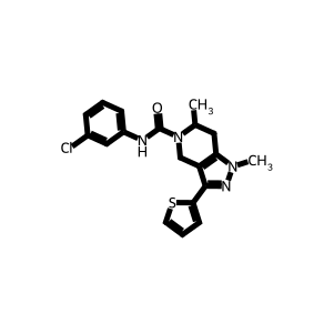 CC1Cc2c(c(-c3cccs3)nn2C)CN1C(=O)Nc1cccc(Cl)c1